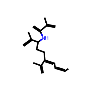 C=C(C)C(=C)NC(CC/C(=C/C=C\C)C(=C)C)C(=C)C